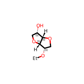 CCO[C@H]1CO[C@@H]2[C@H]1OC[C@@H]2O